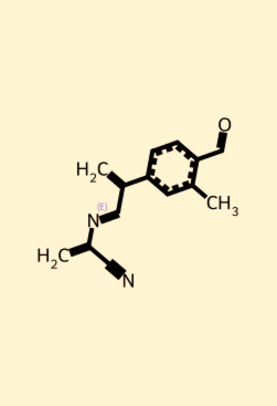 C=C(C#N)/N=C/C(=C)c1ccc(C=O)c(C)c1